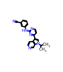 CC(C)n1cc(-c2ccnc(Nc3cccc(C#N)c3)n2)c2ccncc21